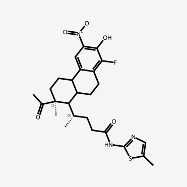 CC(=O)[C@@]1(C)CCC2c3cc([N+](=O)[O-])c(O)c(F)c3CCC2C1[C@@H](C)CCC(=O)Nc1ncc(C)s1